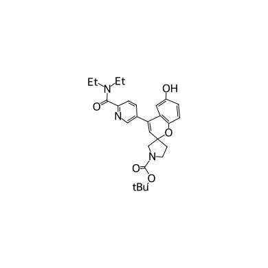 CCN(CC)C(=O)c1ccc(C2=CC3(CCN(C(=O)OC(C)(C)C)C3)Oc3ccc(O)cc32)cn1